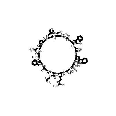 CCCC[C@H]1C(=O)N(C)[C@@H](CCCC)C(O)N[C@@H](CCCNC(=N)N)C(=O)N[C@H](C(=O)NCC(N)=O)C[S+]([O-])CC(=O)N[C@@H](Cc2ccccc2)C(=O)N(C)[C@@H](C)C(=O)N[C@@H](CC(N)=O)C(=O)N2CCCC2C(=O)N[C@@H](Cc2cnc[nH]2)C(=O)N[C@@H](CC(C)C)C(=O)N(C)CC(=O)N[C@@H](Cc2c[nH]c3ccccc23)C(=O)N[C@@H](CO)C(=O)N[C@@H](Cc2c[nH]c3ccccc23)C(=O)N1C